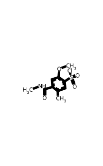 CNC(=O)c1cc(OC)c(S(=O)(=O)Cl)cc1C